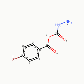 NNC(=O)OC(=O)c1ccc(Br)cc1